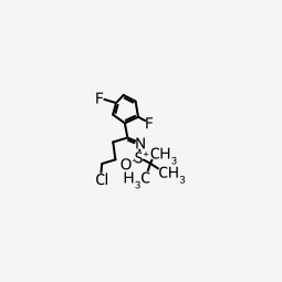 CC(C)(C)[S+]([O-])N=C(CCCCl)c1cc(F)ccc1F